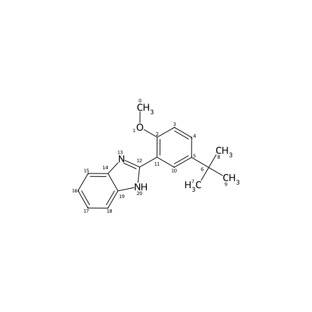 COc1ccc(C(C)(C)C)cc1-c1nc2ccccc2[nH]1